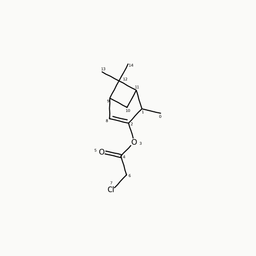 CC1C(OC(=O)CCl)=CC2CC1C2(C)C